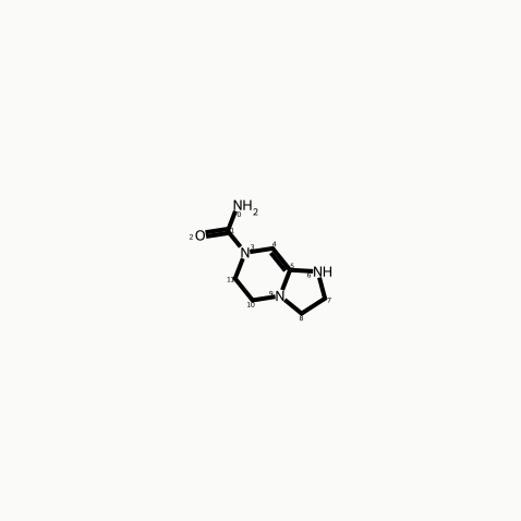 NC(=O)N1C=C2NCCN2CC1